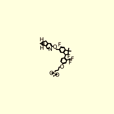 CC1(C)CC(c2ccc(OCCCS(C)(=O)=O)cc2C(F)(F)F)c2cc(COc3cc4c(cn3)[C@@H]3C[C@@H]3C4)c(F)cc21